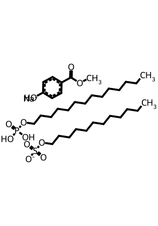 CCCCCCCCCCCCCCOP(=O)(O)O.CCCCCCCCCCCCOS(=O)(=O)[O-].COC(=O)c1ccc(O)cc1.[Na+]